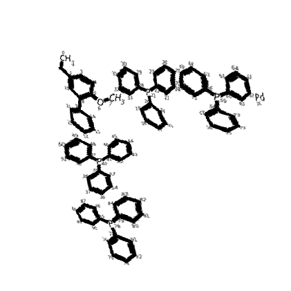 CCc1ccc(OC)c(-c2ccccc2)c1.[Pd].c1ccc(P(c2ccccc2)c2ccccc2)cc1.c1ccc(P(c2ccccc2)c2ccccc2)cc1.c1ccc(P(c2ccccc2)c2ccccc2)cc1.c1ccc(P(c2ccccc2)c2ccccc2)cc1